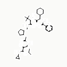 CCC[C@H](NC(=O)C[C@H]1CCC[C@H]1CNC(=O)[C@@H](NC(=O)[C@@H](NC(=O)c1ccccn1)C1CCCCC1)C(C)(C)C)C(=O)C(=O)NC1CC1